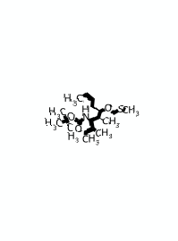 C/C=C\C[C@@H](OCSC)[C@H](C)[C@H](NC(=O)OC(C)(C)C)/C(C)=C/C